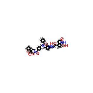 O=C(c1ccc(CN(Cc2ccc(CNC[C@H](O)c3ccc(O)c4[nH]c(=O)ccc34)cc2)C(=O)c2ccccc2)cc1)N1CCC(C(=O)O)(c2ccccc2)CC1